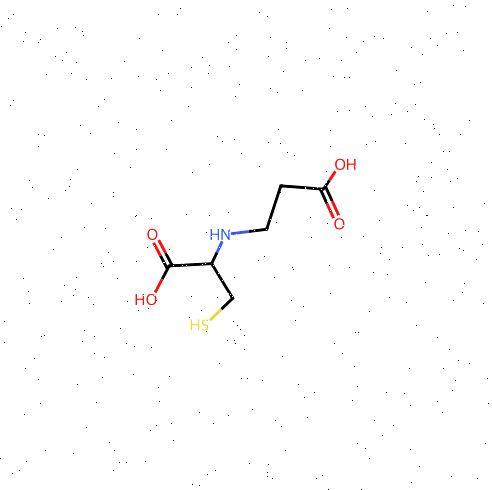 O=C(O)CCNC(CS)C(=O)O